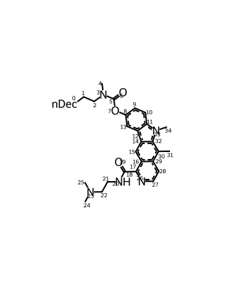 CCCCCCCCCCCCN(C)C(=O)Oc1ccc2c(c1)c1cc3c(C(=O)NCCN(C)C)nccc3c(C)c1n2C